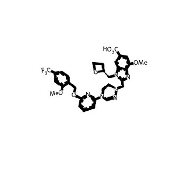 COc1cc(C(F)(F)F)ccc1COc1cccc(N2C=NN(Cc3nc4c(OC)cc(C(=O)O)cc4n3C[C@@H]3CCO3)CC2)n1